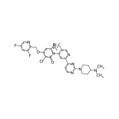 Cc1cnc(-c2ccnc(N3CCC(N(C)C)CC3)n2)cc1-n1c(C)cc(OCc2ncc(F)cc2F)c(Cl)c1=O